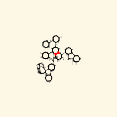 CC1(C)c2ccccc2-c2cccc(-c3ccc(N(c4ccc5c(c4)C4(c6ccccc6-5)C5CC6CC(C5)CC4C6)c4ccccc4-c4cccc(-c5ccccc5-c5ccccc5)c4)cc3)c21